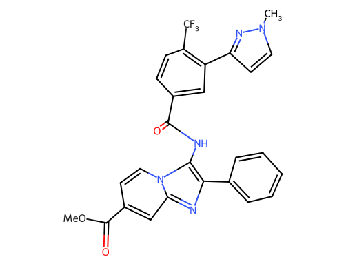 COC(=O)c1ccn2c(NC(=O)c3ccc(C(F)(F)F)c(-c4ccn(C)n4)c3)c(-c3ccccc3)nc2c1